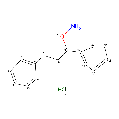 Cl.NOC(CCc1ccccc1)c1ccccc1